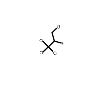 FC(CCl)C(Cl)(Cl)Cl